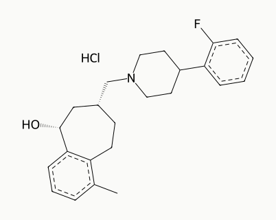 Cc1cccc2c1CC[C@@H](CN1CCC(c3ccccc3F)CC1)C[C@H]2O.Cl